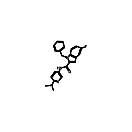 CN(C)c1ccc(NC(=O)c2cc3cc(F)ccc3n2Cc2ccccc2)cn1